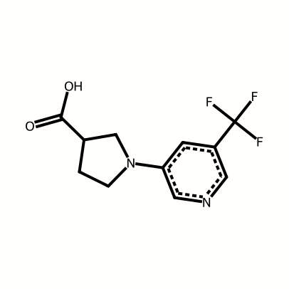 O=C(O)C1CCN(c2cncc(C(F)(F)F)c2)C1